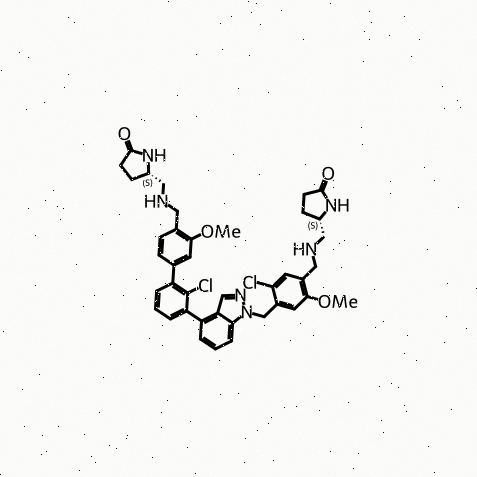 COc1cc(-c2cccc(-c3cccc4c3cnn4Cc3cc(OC)c(CNC[C@@H]4CCC(=O)N4)cc3Cl)c2Cl)ccc1CNC[C@@H]1CCC(=O)N1